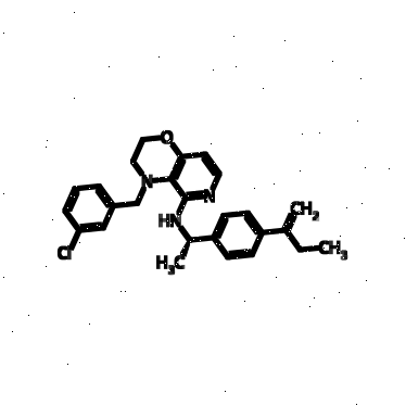 C=C(CC)c1ccc([C@@H](C)Nc2nccc3c2N(Cc2cccc(Cl)c2)CCO3)cc1